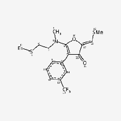 CCSCCN(C)C1=C(c2cccc(C(F)(F)F)c2)C(=O)C(=CSC)O1